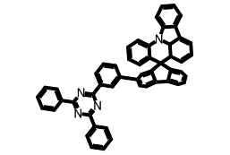 C1=CC2C3C(=C1)c1ccccc1N3c1ccccc1C21c2ccccc2-c2ccc(-c3cccc(-c4nc(-c5ccccc5)nc(-c5ccccc5)n4)c3)cc21